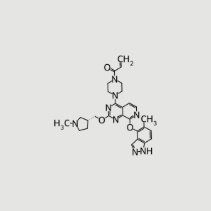 C=CC(=O)N1CCN(c2nc(OC[C@@H]3CCN(C)C3)nc3c(Oc4c(C)ccc5[nH]ncc45)nccc23)CC1